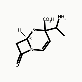 CC(N)C1(C(=O)O)C=CN2C(=O)C[C@H]2S1